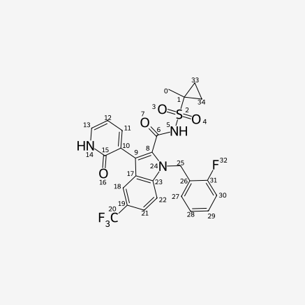 CC1(S(=O)(=O)NC(=O)c2c(-c3ccc[nH]c3=O)c3cc(C(F)(F)F)ccc3n2Cc2ccccc2F)CC1